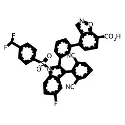 N#Cc1cccc(C#N)c1-c1c(-c2cccc(-c3ccc(C(=O)O)c4oncc34)c2)n(S(=O)(=O)c2ccc(C(F)F)cc2)c2ccc(F)cc12